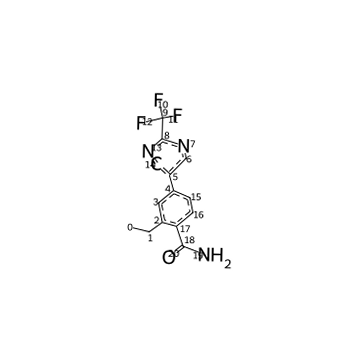 CCc1cc(-c2cnc(C(F)(F)F)nc2)ccc1C(N)=O